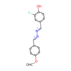 O=COc1ccc(/C=N/N=C/c2ccc(O)c(F)c2)cc1